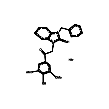 Br.COc1cc(C(=O)Cn2c(=N)n(Cc3ccccc3)c3ccccc32)cc(OC)c1O